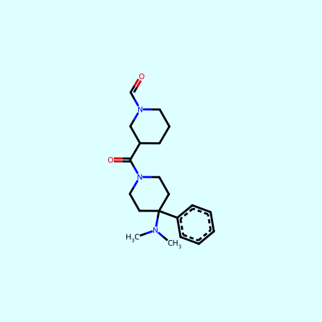 CN(C)C1(c2ccccc2)CCN(C(=O)C2CCCN(C=O)C2)CC1